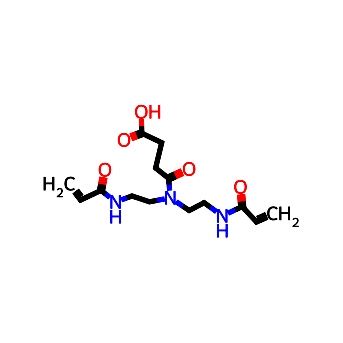 C=CC(=O)NCCN(CCNC(=O)C=C)C(=O)CCC(=O)O